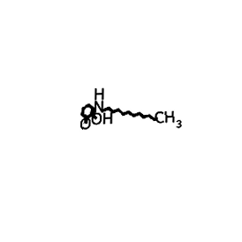 CCCCCCCCCCCCNC1=C(O)C(=O)CCC1